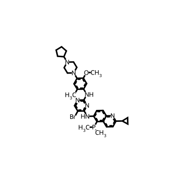 COc1cc(Nc2ncc(Br)c(Nc3ccc4nc(C5CC5)ccc4c3P(C)C)n2)c(C)cc1N1CCN(C2CCCC2)CC1